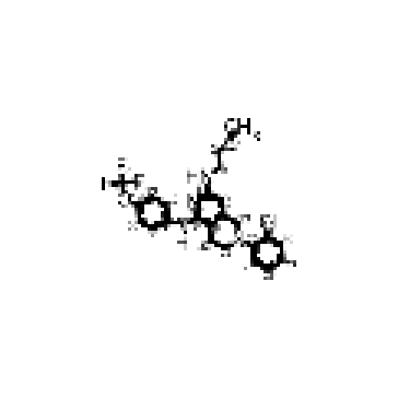 COCCNc1cc2c(c(Nc3ccc(OC(F)(F)F)cc3)n1)CCN(c1ccccc1Cl)C2